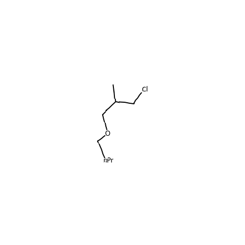 [CH2]CCCOCC(C)CCl